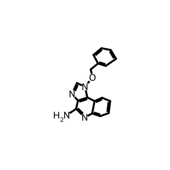 Nc1nc2ccccc2c2c1ncn2OCc1ccccc1